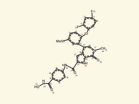 CSc1ccc(Oc2ccc(F)cc2F)c(-c2cn(C)c(=O)c3[nH]c(C(=O)Nc4ccc(C(=O)NO)cc4)cc23)c1